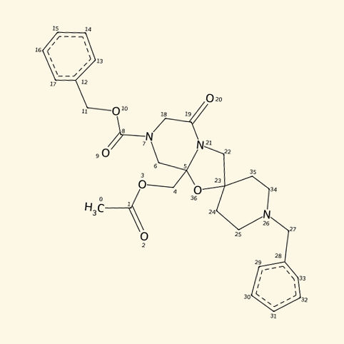 CC(=O)OCC12CN(C(=O)OCc3ccccc3)CC(=O)N1CC1(CCN(Cc3ccccc3)CC1)O2